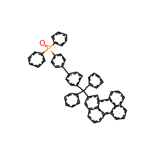 O=P(c1ccccc1)(c1ccccc1)c1ccc(-c2ccc(C(c3ccccc3)(c3ccccc3)c3cc4cccc5c6cccc7cccc(c(c3)c45)c76)cc2)cc1